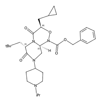 CC(C)N1CCC(N2C[C@@H]3N(C(=O)OCc4ccccc4)O[C@H](CC4CC4)C(=O)N3[C@@H](CC(C)(C)C)C2=O)CC1